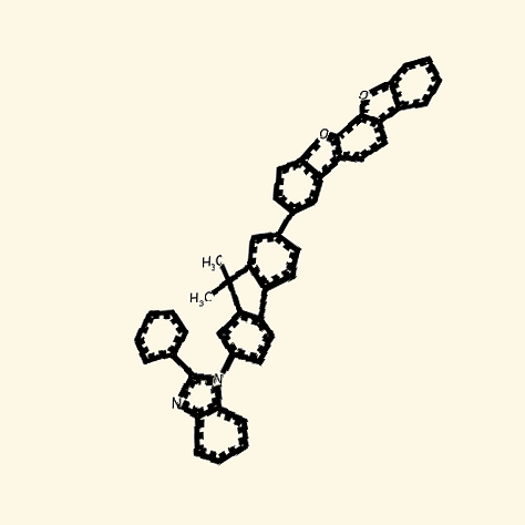 CC1(C)c2cc(-c3ccc4oc5c(ccc6c7ccccc7oc65)c4c3)ccc2-c2ccc(-n3c(-c4ccccc4)nc4ccccc43)cc21